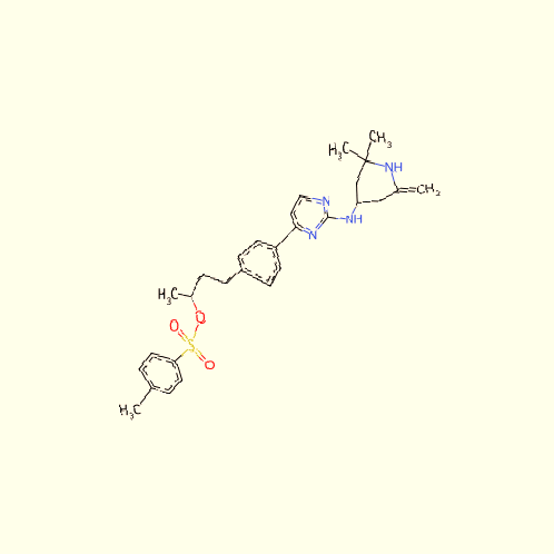 C=C1CC(Nc2nccc(-c3ccc(CCC(C)OS(=O)(=O)c4ccc(C)cc4)cc3)n2)CC(C)(C)N1